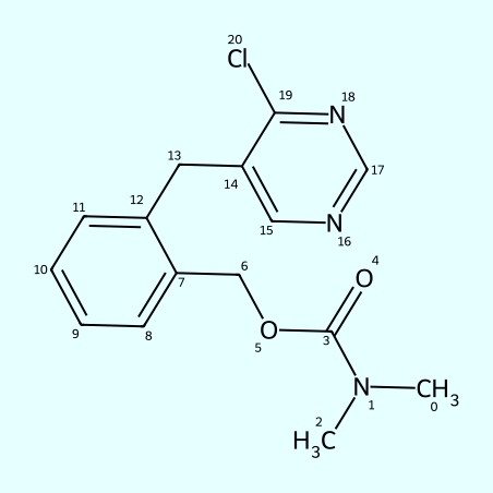 CN(C)C(=O)OCc1ccccc1Cc1cncnc1Cl